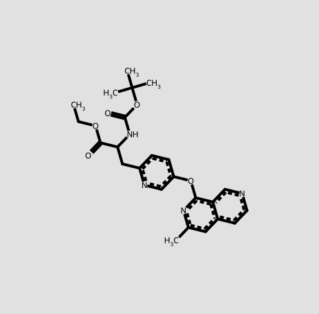 CCOC(=O)C(Cc1ccc(Oc2nc(C)cc3ccncc23)cn1)NC(=O)OC(C)(C)C